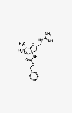 C[C@@H](N)C(=O)[C@]([C]=O)(CCCNC(=N)N)NC(=O)OCc1ccccc1